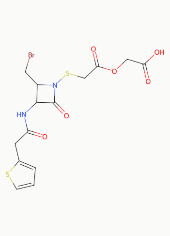 O=C(O)COC(=O)CSN1C(=O)C(NC(=O)Cc2cccs2)C1CBr